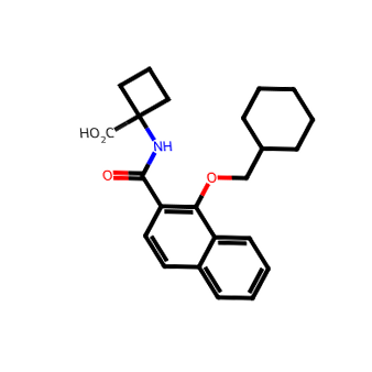 O=C(NC1(C(=O)O)CCC1)c1ccc2ccccc2c1OCC1CCCCC1